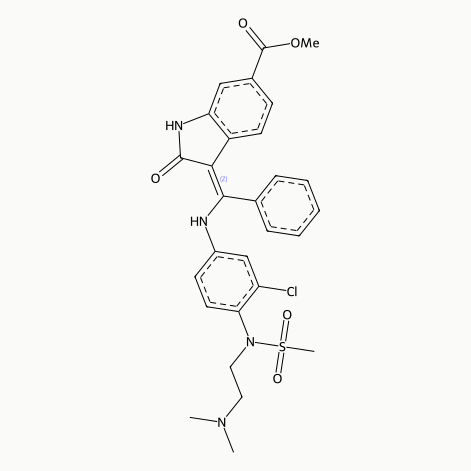 COC(=O)c1ccc2c(c1)NC(=O)/C2=C(\Nc1ccc(N(CCN(C)C)S(C)(=O)=O)c(Cl)c1)c1ccccc1